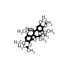 COc1cc(C(=O)c2c(C(C)(C)C)oc3c(OC(C)C)c(OC)cc([SiH](C)C)c23)cc(OC)c1OC